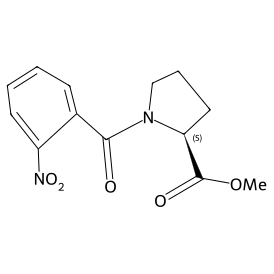 COC(=O)[C@@H]1CCCN1C(=O)c1ccccc1[N+](=O)[O-]